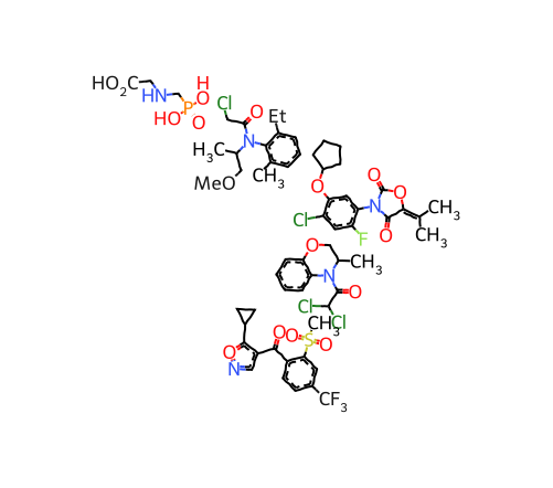 CC(C)=C1OC(=O)N(c2cc(OC3CCCC3)c(Cl)cc2F)C1=O.CC1COc2ccccc2N1C(=O)C(Cl)Cl.CCc1cccc(C)c1N(C(=O)CCl)C(C)COC.CS(=O)(=O)c1cc(C(F)(F)F)ccc1C(=O)c1cnoc1C1CC1.O=C(O)CNCP(=O)(O)O